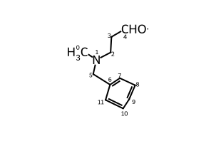 CN(CC[C]=O)Cc1ccccc1